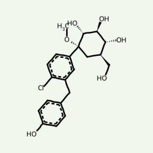 CO[C@@]1(c2ccc(Cl)c(Cc3ccc(O)cc3)c2)C[C@H](CO)[C@@H](O)[C@H](O)[C@H]1O